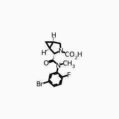 CN(C(=O)[C@@H]1[C@H]2C[C@H]2CN1C(=O)O)c1cc(Br)ccc1F